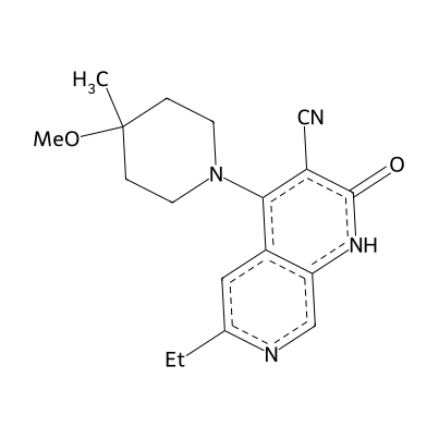 CCc1cc2c(N3CCC(C)(OC)CC3)c(C#N)c(=O)[nH]c2cn1